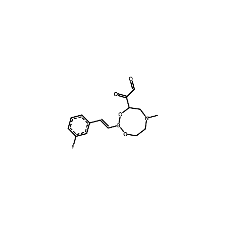 CN1CCOB(C=Cc2cccc(F)c2)OC(C(=O)C=O)C1